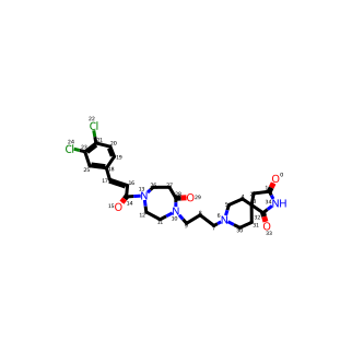 O=C1CC2(CCN(CCCN3CCN(C(=O)C=Cc4ccc(Cl)c(Cl)c4)CCC3=O)CC2)C(=O)N1